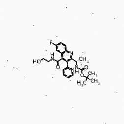 C[C@H](NC(=O)OC(C)(C)C)c1nc2ccc(F)cc2c(C(=O)NCCO)c1-c1ccccn1